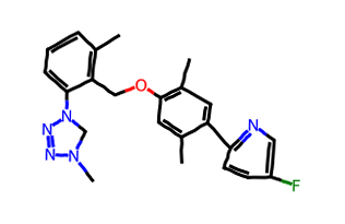 Cc1cc(-c2ccc(F)cn2)c(C)cc1OCc1c(C)cccc1N1CN(C)N=N1